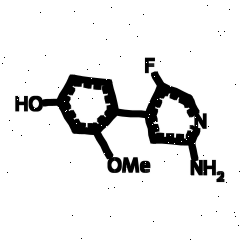 COc1cc(O)ccc1-c1cc(N)ncc1F